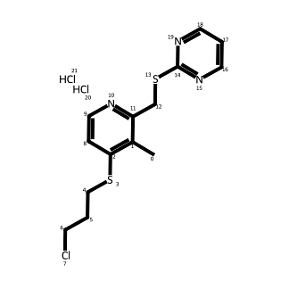 Cc1c(SCCCCl)ccnc1CSc1ncccn1.Cl.Cl